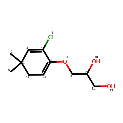 CC1(C)C=C(Cl)C(OCC(O)CO)=CC1